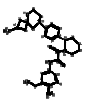 CCc1cc(NC(=O)C(=O)N2CCCC[C@H]2c2ccc(N3CCOC4(CN(C)C4)C3)cc2)cnc1N